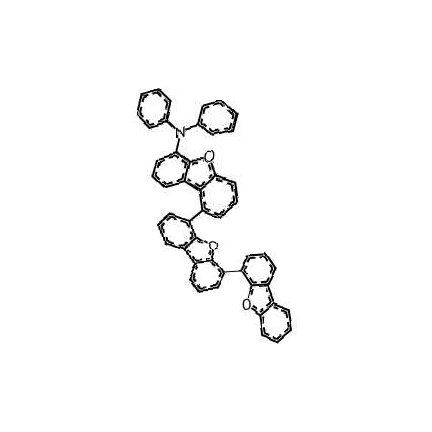 c1ccc(N(c2ccccc2)c2cccc3c2oc2cccc(-c4cccc5c4oc4c(-c6cccc7c6oc6ccccc67)cccc45)c23)cc1